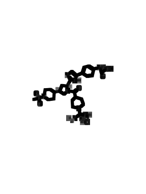 CS(=O)(=O)N1CCC([C@H]2C[C@@H](c3ncc(-c4ccc(NC(=O)O)cc4)[nH]3)N(C(=O)C3CCN(C(=N)N)CC3)C2)CC1.Cl.Cl